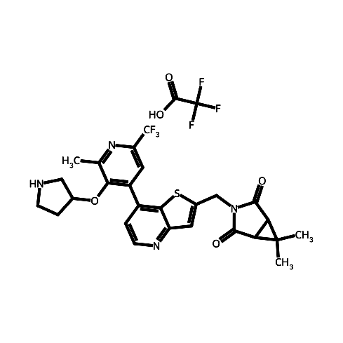 Cc1nc(C(F)(F)F)cc(-c2ccnc3cc(CN4C(=O)C5C(C4=O)C5(C)C)sc23)c1OC1CCNC1.O=C(O)C(F)(F)F